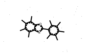 Cc1c(C)c(C)c(-c2nc3c(C)c(C)c(C)c(C)c3o2)c(C)c1C